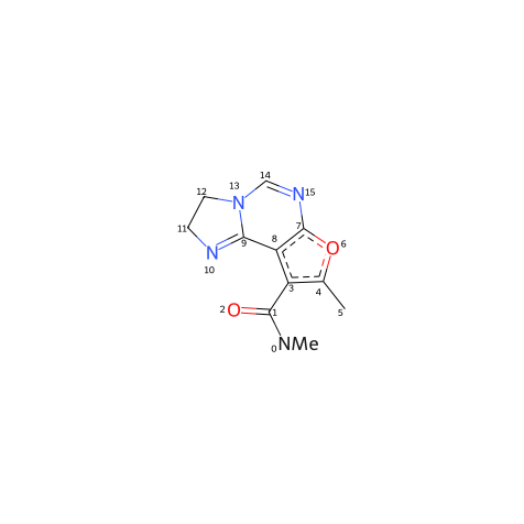 CNC(=O)c1c(C)oc2c1C1=NCCN1C=N2